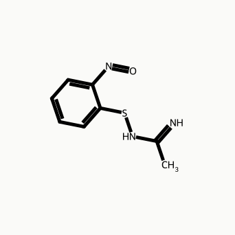 CC(=N)NSc1ccccc1N=O